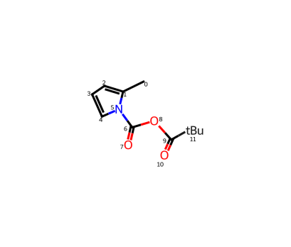 Cc1cccn1C(=O)OC(=O)C(C)(C)C